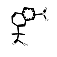 CC(C)(C(=O)O)C1=Cc2cc([N+](=O)[O-])ccc2C=CC1